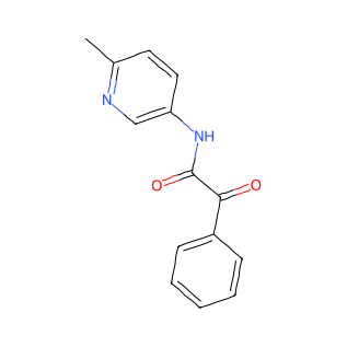 Cc1ccc(NC(=O)C(=O)c2ccccc2)cn1